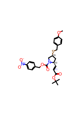 COc1ccc(CS[C@H]2C[C@@H](/C=C/C(=O)OC(C)(C)C)N(C(=O)OCc3ccc([N+](=O)[O-])cc3)C2)cc1